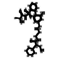 C[C@H](O)C(=O)NS(=O)(=O)c1ccccc1-c1ccc(CNCCNC(=O)[C@@H](CS)C2CCCCC2)cc1Cl